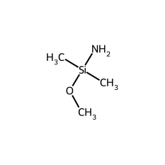 CO[Si](C)(C)N